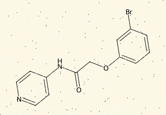 O=C(COc1cccc(Br)c1)Nc1ccncc1